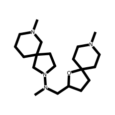 CN1CCC2(CCC(CN(C)N3CCC4(CCCN(C)C4)C3)O2)CC1